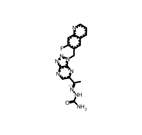 C/C(=N\NC(N)=O)c1cnc2nnn(Cc3cc4cccnc4cc3F)c2n1